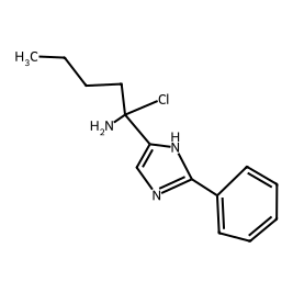 CCCCC(N)(Cl)c1cnc(-c2ccccc2)[nH]1